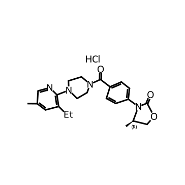 CCc1cc(C)cnc1N1CCN(C(=O)c2ccc(N3C(=O)OC[C@H]3C)cc2)CC1.Cl